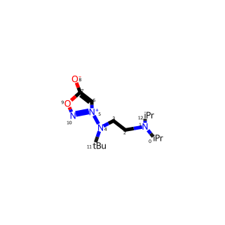 CC(C)N(CCN([n+]1cc([O-])on1)C(C)(C)C)C(C)C